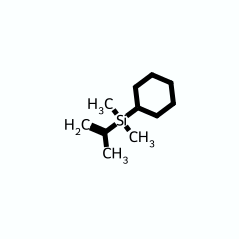 C=C(C)[Si](C)(C)C1CCCCC1